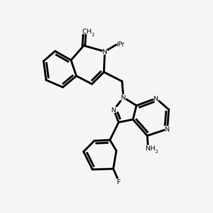 C=C1c2ccccc2C=C(Cn2nc(C3=CC=CC(F)C3)c3c(N)ncnc32)N1C(C)C